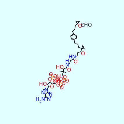 CC(C)(COP(=O)(O)OP(=O)(O)OCC1OC(n2cnc3c(N)ncnc32)C(O)C1OP(=O)(O)O)C(O)C(=O)NCCC(=O)NCCC(=O)C1(CCCc2ccc(CCCC3(OC=O)CC3)cc2)CC1